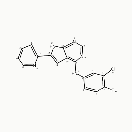 Fc1ccc(Nc2ncnc3[nH]c(-c4ccccn4)cc23)cc1Cl